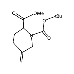 C=C1CCC(C(=O)OC)N(C(=O)OC(C)(C)C)C1